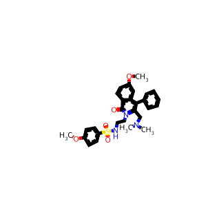 COc1ccc(S(=O)(=O)NCCn2c(CN(C)C)c(-c3ccccc3)c3cc(OC)ccc3c2=O)cc1